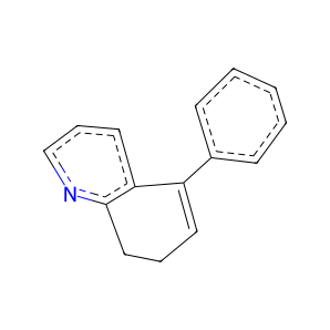 C1=C(c2ccccc2)c2cccnc2CC1